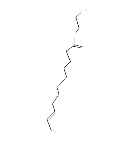 CCCCCCCCC/C=C/CCCCCCCC(=O)OCCN